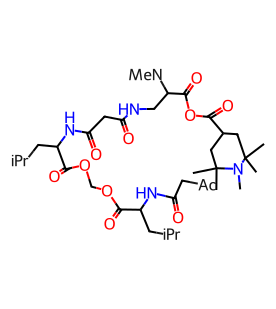 CNC(CNC(=O)CC(=O)NC(CC(C)C)C(=O)OCOC(=O)C(CC(C)C)NC(=O)CC(C)=O)C(=O)OC(=O)C1CC(C)(C)N(C)C(C)(C)C1